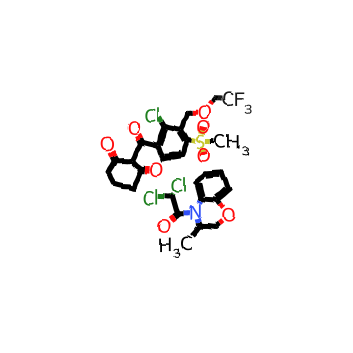 CC1COc2ccccc2N1C(=O)C(Cl)Cl.CS(=O)(=O)c1ccc(C(=O)C2C(=O)CCCC2=O)c(Cl)c1COCC(F)(F)F